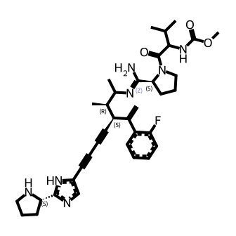 C=C(c1ccccc1F)[C@@H](C#CC#Cc1cnc([C@@H]2CCCN2)[nH]1)[C@@H](C)C(C)/N=C(\N)[C@@H]1CCCN1C(=O)C(NC(=O)OC)C(C)C